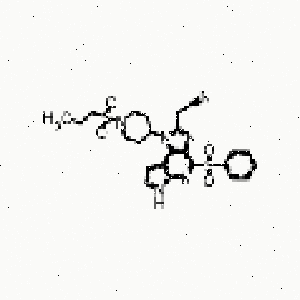 CCCS(=O)(=O)N1CCC(n2c(CC#N)nc3c(S(=O)(=O)c4ccccc4)nc4[nH]ccc4c32)CC1